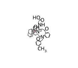 CC(=O)N1[C@H](CC23CC4CC(CC(C4)C2)C3)C(=O)N(Cc2cccc(C)c2)c2ccccc2C(=O)C[C@H]1C(=O)NCC(=O)O